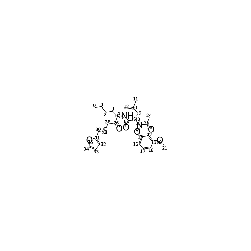 CCCC[C@H](NC(=O)[C@H](CC(C)C)N(Oc1cccc(OC)c1)C(C)=O)C(=O)CSCc1ccco1